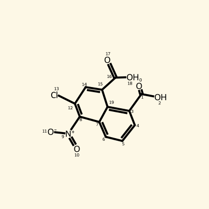 O=C(O)c1cccc2c([N+](=O)[O-])c(Cl)cc(C(=O)O)c12